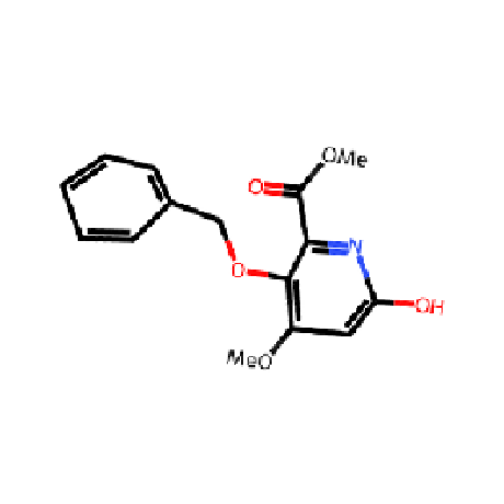 COC(=O)c1nc(O)cc(OC)c1OCc1ccccc1